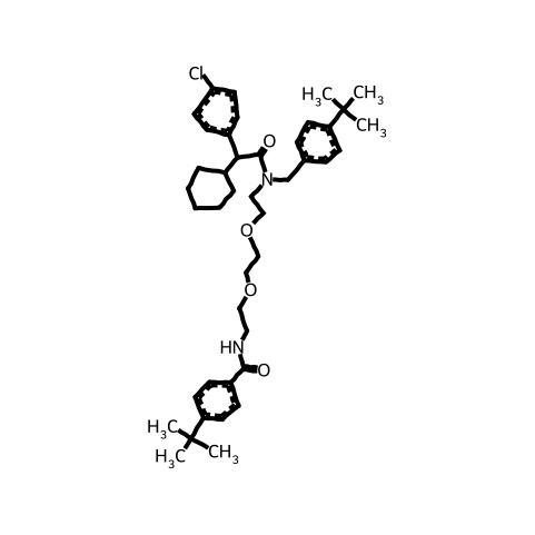 CC(C)(C)c1ccc(CN(CCOCCOCCNC(=O)c2ccc(C(C)(C)C)cc2)C(=O)C(c2ccc(Cl)cc2)C2CCCCC2)cc1